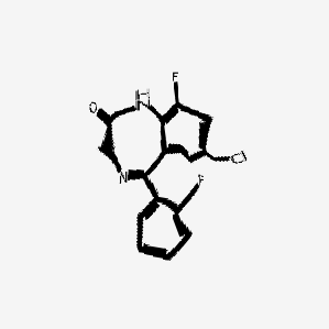 O=C1CN=C(c2ccccc2F)c2cc(Cl)cc(F)c2N1